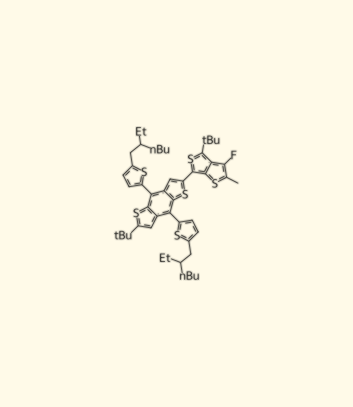 CCCCC(CC)Cc1ccc(-c2c3cc(C(C)(C)C)sc3c(-c3ccc(CC(CC)CCCC)s3)c3cc(-c4sc(C(C)(C)C)c5c(F)c(C)sc45)sc23)s1